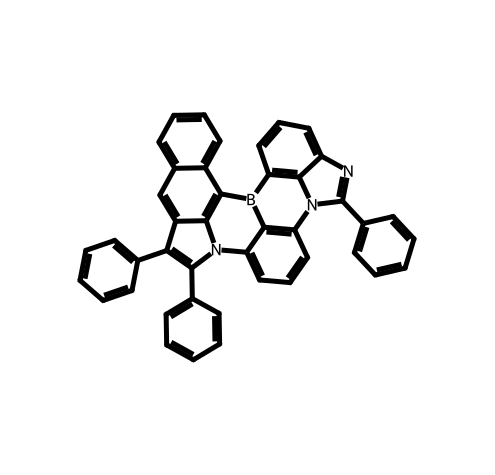 c1ccc(-c2c(-c3ccccc3)n3c4c(c5ccccc5cc24)B2c4c(cccc4-3)-n3c(-c4ccccc4)nc4cccc2c43)cc1